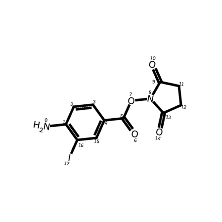 Nc1ccc(C(=O)ON2C(=O)CCC2=O)cc1I